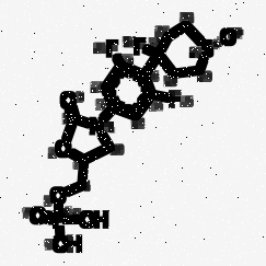 O=C1OC(COP(=O)(O)O)CN1c1cc(F)c(C2(F)CC[S+]([O-])CC2)c(F)c1